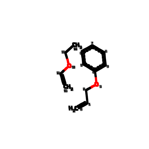 C=CCOc1ccccc1.C=COCC